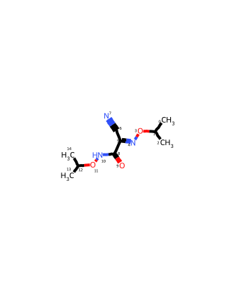 CC(C)O/N=C(\C#N)C(=O)NOC(C)C